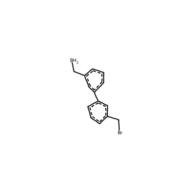 BCc1cccc(-c2cccc(CBr)c2)c1